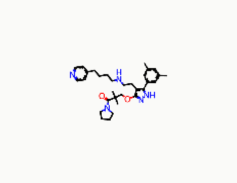 Cc1cc(C)cc(-c2[nH]nc(OCC(C)(C)C(=O)N3CCCC3)c2CCNCCCCc2ccncc2)c1